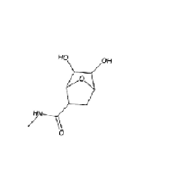 CNC(=O)C1CC2OC1C(O)C2O